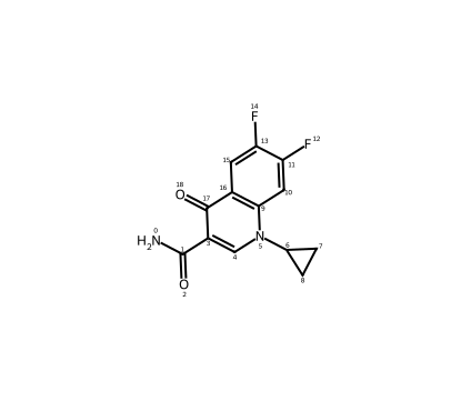 NC(=O)c1cn(C2CC2)c2cc(F)c(F)cc2c1=O